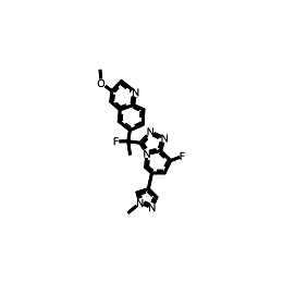 COc1cnc2ccc(C(C)(F)c3nnc4c(F)cc(-c5cnn(C)c5)cn34)cc2c1